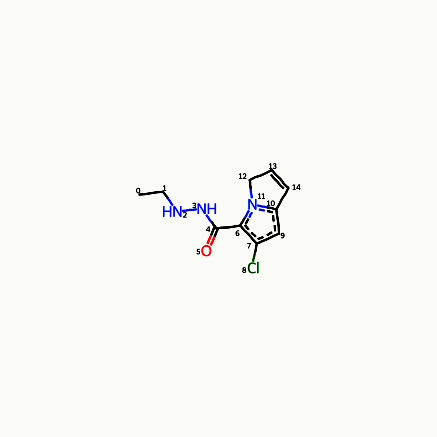 CCNNC(=O)c1c(Cl)cc2n1CC=C2